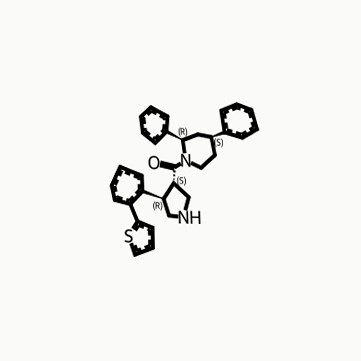 O=C([C@@H]1CNC[C@H]1c1ccccc1-c1cccs1)N1CC[C@H](c2ccccc2)C[C@@H]1c1ccccc1